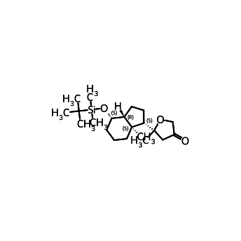 CC1([C@H]2CC[C@H]3[C@@H](O[Si](C)(C)C(C)(C)C)CCC[C@]23C)CC(=O)CO1